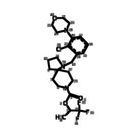 CC(OC(=O)N1CCC2(CCCN2Cc2cccc(N3CCOCC3)c2Cl)CC1)C(F)(F)F